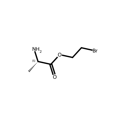 C[C@H](N)C(=O)OCCBr